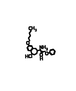 CCCCCCOc1ccc2c(c1)CC(C(N)[C@H](O)COc1ccccc1)CCC2.Cl